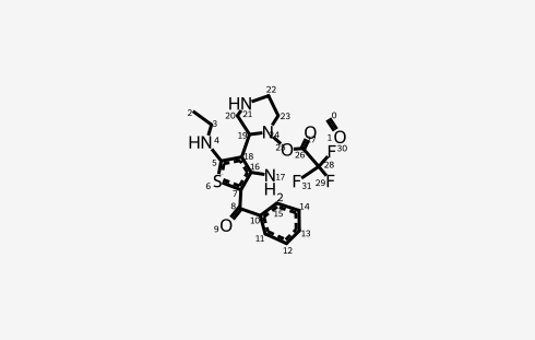 C=O.CCNc1sc(C(=O)c2ccccc2)c(N)c1C1CNCCN1OC(=O)C(F)(F)F